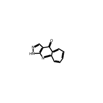 O=c1c2cccccc-2nc2[nH]ncc12